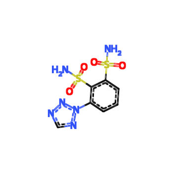 NS(=O)(=O)c1cccc(-n2ncnn2)c1S(N)(=O)=O